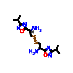 CC(C)c1noc([C@@H](N)CSSC[C@H](N)c2nc(C(C)C)no2)n1